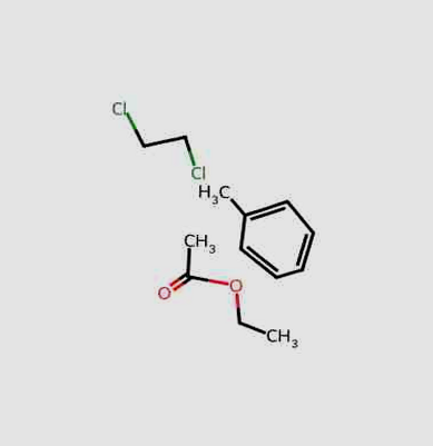 CCOC(C)=O.Cc1ccccc1.ClCCCl